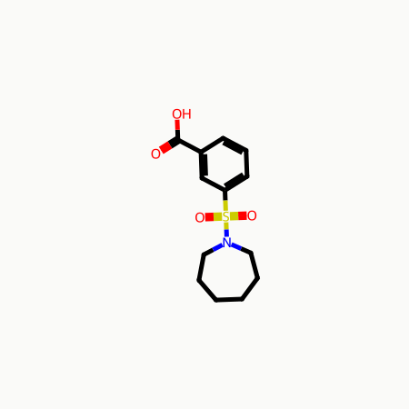 O=C(O)c1cccc(S(=O)(=O)N2CCCCCC2)c1